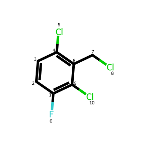 Fc1ccc(Cl)c(CCl)c1Cl